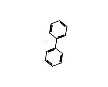 [HH].c1ccc(-c2ccccc2)cc1